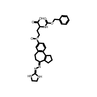 O=C(NC(CC[S+]([O-])c1ccc2c(c1)CCC(=NN=C1NCCN1)C1=C2CCC1)C(=O)O)OCc1ccccc1